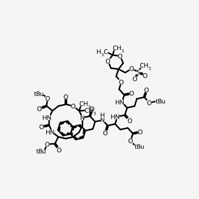 CC(C)(C)OC(=O)CCC(NC(=O)COCC1(COS(C)(=O)=O)COC(C)(C)OC1)C(=O)NC(CCC(=O)OC(C)(C)C)C(=O)NC(Cc1ccc2ccccc2c1)C(=O)N1CCCCC(C(=O)OC(C)(C)C)NC(=O)NC(C(=O)OC(C)(C)C)CC(=O)OC1(C)C